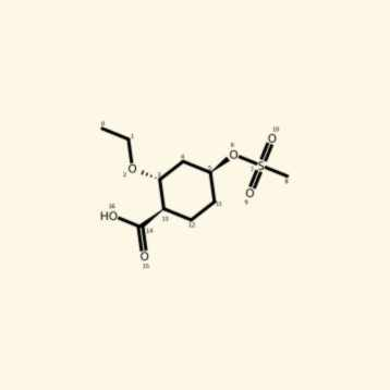 CCO[C@@H]1C[C@@H](OS(C)(=O)=O)CC[C@H]1C(=O)O